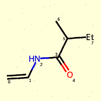 C=CNC(=O)C(C)CC